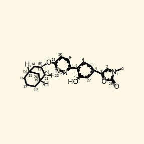 Cn1cc(-c2ccc(-c3ccc(O[C@@H]4C[C@H]5CCC[C@H](C5)[C@@H]4F)nn3)c(O)c2)oc1=O